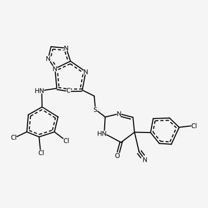 N#CC1(c2ccc(Cl)cc2)C=NC(SCc2cc(Nc3cc(Cl)c(Cl)c(Cl)c3)n3ncnc3n2)NC1=O